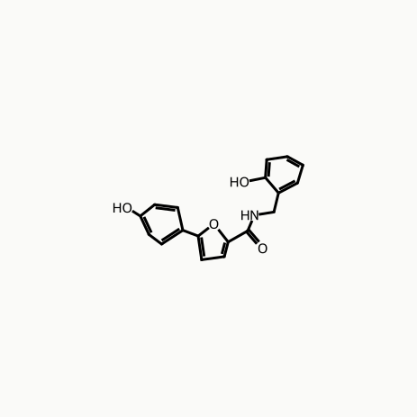 O=C(NCc1ccccc1O)c1ccc(-c2ccc(O)cc2)o1